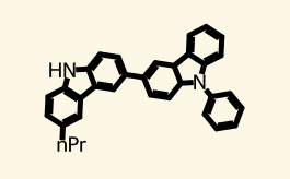 CCCc1ccc2[nH]c3ccc(C4=CC5c6ccccc6N(c6ccccc6)C5C=C4)cc3c2c1